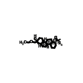 CCOC[C@@]1(O)CC[C@H]2[C@@H](CC[C@@H]3[C@@H]2CC[C@]2(C)[C@H](C(C)=O)CCC[C@@H]32)C1